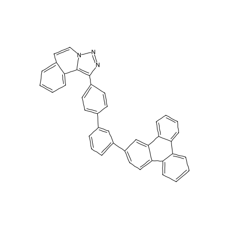 c1cc(-c2ccc(-c3nnn4ccc5ccccc5c34)cc2)cc(-c2ccc3c4ccccc4c4ccccc4c3c2)c1